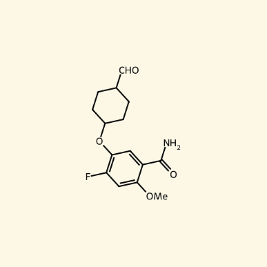 COc1cc(F)c(OC2CCC(C=O)CC2)cc1C(N)=O